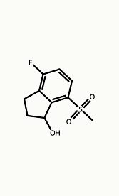 CS(=O)(=O)c1ccc(F)c2c1C(O)CC2